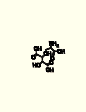 CC(N)C(=O)O.O=C(O)C(O)C(O)C(=O)O